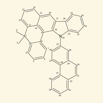 CC1(C)c2ccccc2-c2c3c1cccc3cc1c3ccccc3n(-c3ccc4c(ccc5ccccc54)c3)c21